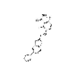 NC(=O)c1c(F)ccc(OCC2=Cc3cc(C4C=CCC4)ccc3C2)c1F